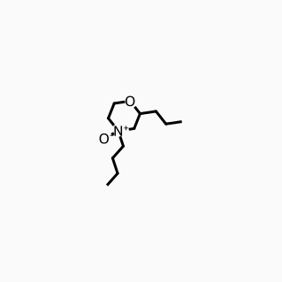 CCCC[N+]1([O-])CCOC(CCC)C1